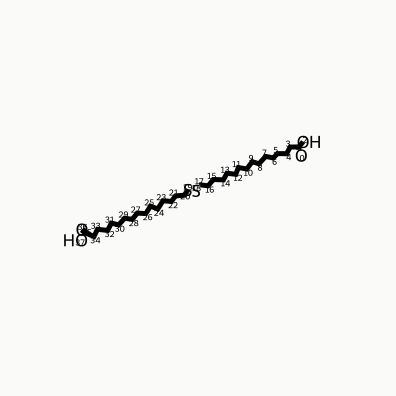 O=C(O)CCCCCCCCCCCCCCCSSCCCCCCCCCCCCCCCC(=O)O